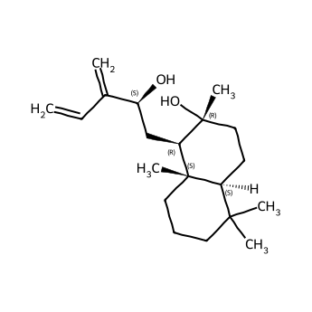 C=CC(=C)[C@@H](O)C[C@@H]1[C@@]2(C)CCCC(C)(C)[C@@H]2CC[C@@]1(C)O